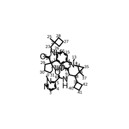 Cn1nccc1C(=O)N[C@@H]1C(=O)[N+](C)(c2cccc(C3(C(=O)NCC4(C)CCC4)CCCN3)c2)C2CC2(C)C1C1CCC1